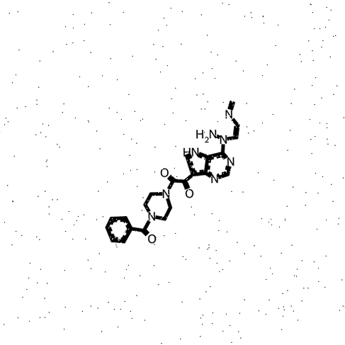 C=N/C=C\N(N)c1ncnc2c(C(=O)C(=O)N3CCN(C(=O)c4ccccc4)CC3)c[nH]c12